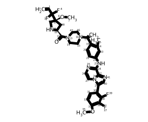 C=CC(F)(F)[C@@]1(OC)CN[C@H](C(=O)N2CCN(C(=C)c3ccc(Nc4nccn5c(-c6ccc(OC)c(F)c6F)cnc45)cc3C)CC2)C1